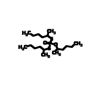 CCCCC(C)OP(=O)(SC(C)CCCC)SC(C)CCCC